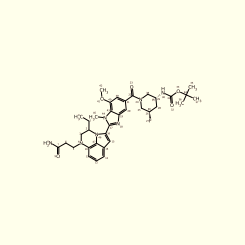 CCC1CN(CCC(N)=O)c2cccc3cc(-c4nc5cc(C(=O)N6C[C@H](F)C[C@@H](NC(=O)OC(C)(C)C)C6)cc(OC)c5n4C)n1c23